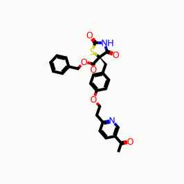 CC(=O)c1ccc(CCOc2ccc(C[C@@]3(C(=O)OCc4ccccc4)SC(=O)NC3=O)cc2)nc1